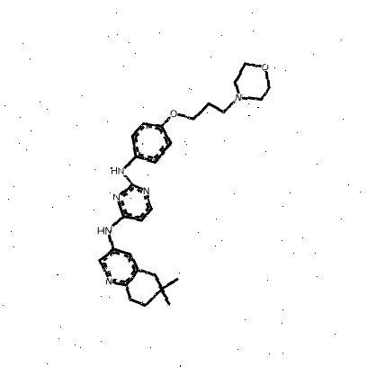 CC1(C)CCc2ncc(Nc3ccnc(Nc4ccc(OCCCN5CCOCC5)cc4)n3)cc2C1